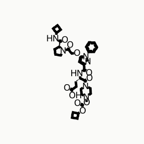 O=C(O)CC[C@H](NC(=O)c1cc(OCC(=O)N2CCC[C@H]2C(=O)NC2CCC2)n(-c2ccccc2)n1)C(=O)N1CCN(OC(=O)OC2CCC2)CC1